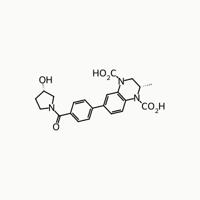 C[C@H]1CN(C(=O)O)c2cc(-c3ccc(C(=O)N4CC[C@H](O)C4)cc3)ccc2N1C(=O)O